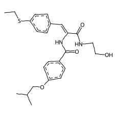 CCSc1ccc(/C=C(\NC(=O)c2ccc(OCC(C)C)cc2)C(=O)NCCO)cc1